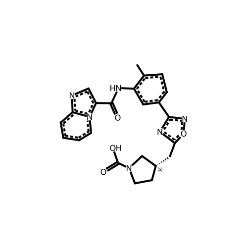 Cc1ccc(-c2noc(C[C@@H]3CCN(C(=O)O)C3)n2)cc1NC(=O)c1cnc2ccccn12